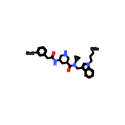 COCCCn1cc(CN(C(=O)C2CNCC(NC(=O)Cc3cccc(OC)c3)C2)C2CC2)c2ccccc21